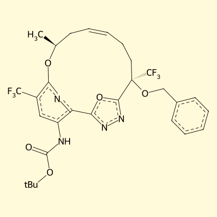 C[C@H]1C/C=C\CC[C@](OCc2ccccc2)(C(F)(F)F)c2nnc(o2)-c2nc(c(C(F)(F)F)cc2NC(=O)OC(C)(C)C)O1